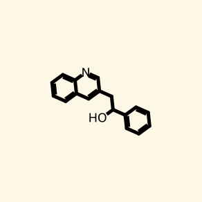 OC(Cc1cnc2ccccc2c1)c1ccccc1